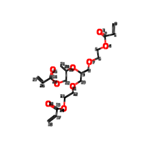 C=CC(=O)OCCOCC(COCCOC(=O)C=C)OC(C)COC(=O)C=C